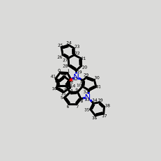 c1ccc(-c2cccc3c2c2c(N(c4ccccc4)c4ccc5ccccc5c4)cccc2n3-c2ccccc2)cc1